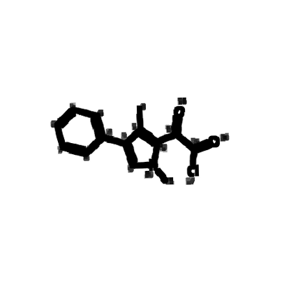 Cc1c(-c2ccccc2)cn(C)c1C(=O)C(=O)Cl